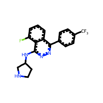 Fc1cccc2c(-c3ccc(C(F)(F)F)cc3)nnc(NC3CCNC3)c12